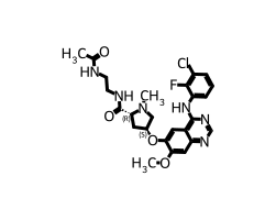 COc1cc2ncnc(Nc3cccc(Cl)c3F)c2cc1O[C@H]1C[C@H](C(=O)NCCNC(C)=O)N(C)C1